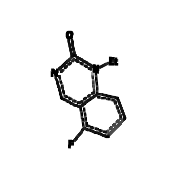 CCn1c(=O)ncc2c(F)cccc21